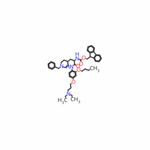 CCCCOc1cc(OCCCN(CC)CC)ccc1NC(=O)C(CC1CCN(Cc2ccccc2)CC1)NC(=O)OCC1c2ccccc2-c2ccccc21